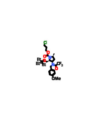 CC[Si](CC)(CC)OC[C@H]1[C@@H](N(Cc2ccc(OC)cc2)C(=O)C(F)(F)F)C[C@@H](C)N1C(=O)OCCCCl